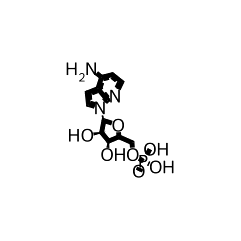 Nc1ccnc2c1ccn2[C@@H]1OC(COP(=O)(O)O)[C@@H](O)[C@H]1O